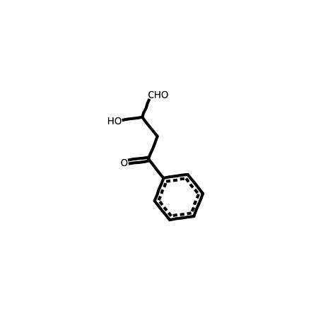 O=CC(O)CC(=O)c1ccccc1